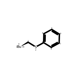 CC[C@H](C)CSc1ccccc1